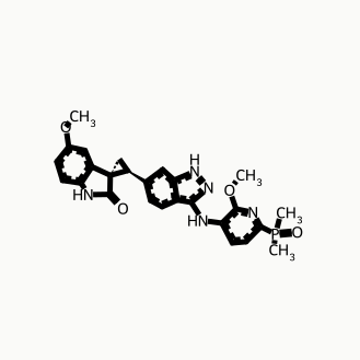 COc1ccc2c(c1)[C@]1(C[C@H]1c1ccc3c(Nc4ccc(P(C)(C)=O)nc4OC)n[nH]c3c1)C(=O)N2